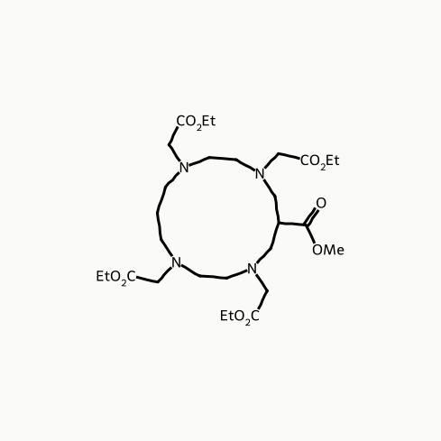 CCOC(=O)CN1CCCN(CC(=O)OCC)CCN(CC(=O)OCC)CC(C(=O)OC)CN(CC(=O)OCC)CC1